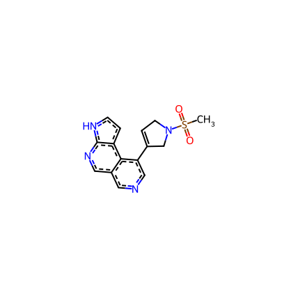 CS(=O)(=O)N1CC=C(c2cncc3cnc4[nH]ccc4c23)C1